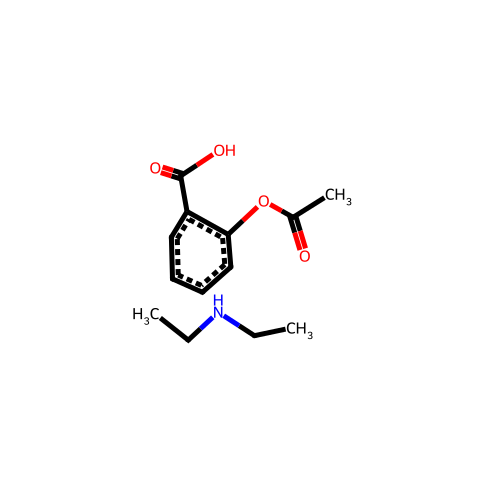 CC(=O)Oc1ccccc1C(=O)O.CCNCC